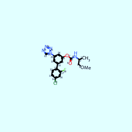 COCC(C)NC(=O)Oc1cc(-c2ccc(Cl)cc2F)cc(-n2cnnn2)c1